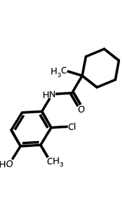 Cc1c(O)ccc(NC(=O)C2(C)CCCCC2)c1Cl